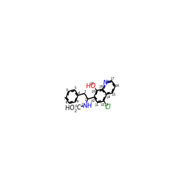 O=C(O)NC(Cc1ccccc1)c1cc(Cl)c2cccnc2c1O